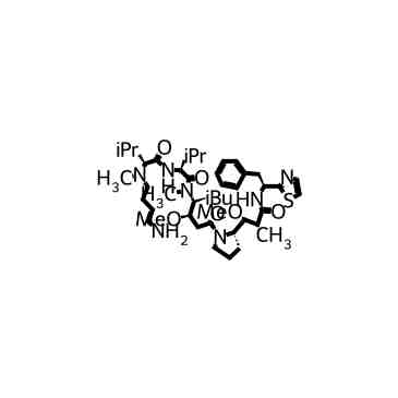 CC[C@H](C)[C@@H]([C@@H](CC(=O)N1CCC[C@H]1[C@H](OC)[C@@H](C)C(=O)N[C@@H](Cc1ccccc1)c1nccs1)OC)N(C)C(=O)[C@@H](NC(=O)[C@H](C(C)C)N(C)CCCCN)C(C)C